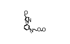 CN(CCOC=O)c1cccc(-n2cc(C=O)cn2)c1